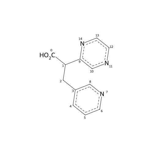 O=C(O)C(Cc1cccnc1)c1cnccn1